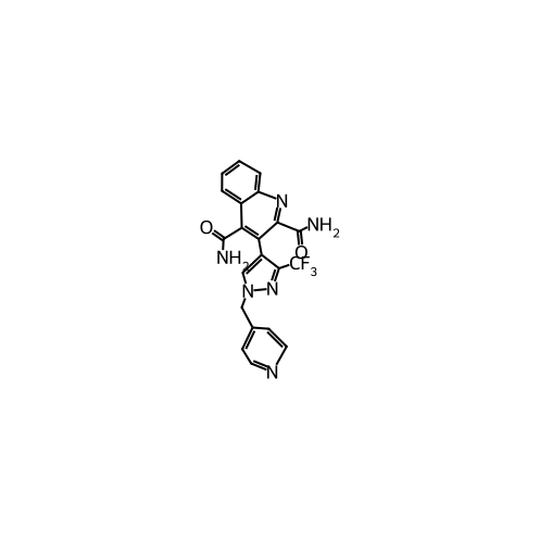 NC(=O)c1nc2ccccc2c(C(N)=O)c1-c1cn(Cc2ccncc2)nc1C(F)(F)F